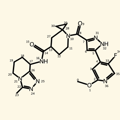 COc1cc(-c2cc(C(=O)N3CCC(C(=O)NC4CCCn5c(C)nnc54)CC34CC4)n[nH]2)c(F)cn1